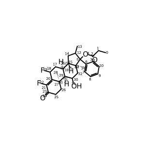 CCC(=O)OC1(c2ccccc2)C(C)C[C@H]2[C@@H]3CC(F)C4=C(F)C(=O)CC[C@]4(C)[C@@H]3C(O)C[C@@]21C